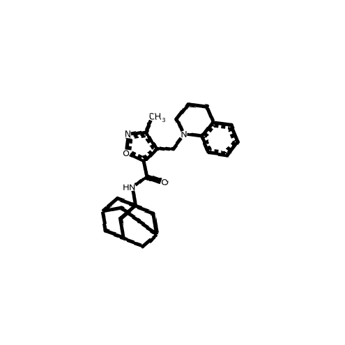 Cc1noc(C(=O)NC23CC4CC(CC(C4)C2)C3)c1CN1CCCc2ccccc21